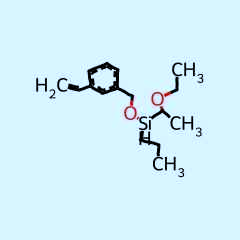 C=Cc1cccc(CO[SiH](CCC)C(C)OCC)c1